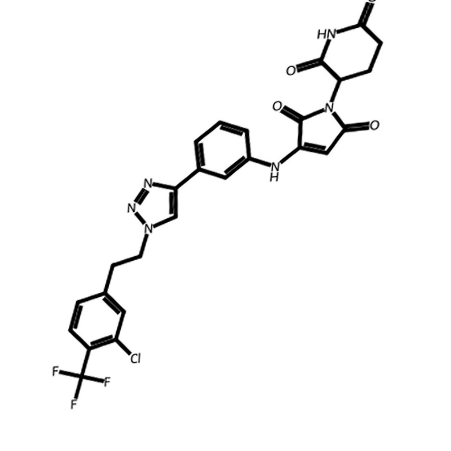 O=C1CCC(N2C(=O)C=C(Nc3cccc(-c4cn(CCc5ccc(C(F)(F)F)c(Cl)c5)nn4)c3)C2=O)C(=O)N1